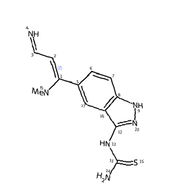 CN/C(=C\C=N)c1ccc2[nH]nc(NC(N)=S)c2c1